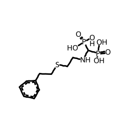 O=P(O)(O)C(NCCSCCc1ccccc1)P(=O)(O)O